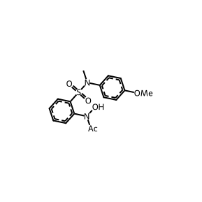 COc1ccc(N(C)S(=O)(=O)c2ccccc2N(O)C(C)=O)cc1